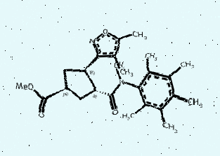 COC(=O)[C@@H]1C[C@@H](C(=O)N(C)c2c(C)c(C)c(C)c(C)c2C)[C@H](c2noc(C)c2C)C1